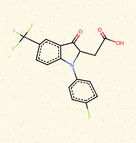 O=C(O)CC1C(=O)c2cc(C(F)(F)F)ccc2N1c1ccc(F)cc1